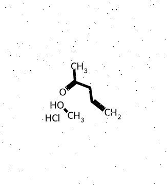 C=CCC(C)=O.CO.Cl